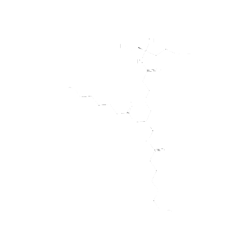 CCCCCCCCCCCCCCCC(=O)OC[C@H](CSCCC(=O)N[C@](N)(CCC(=O)O)C(=O)O)OC(=O)CCCCCCCCCCCCCCC